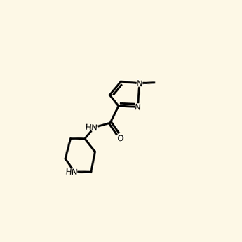 Cn1ccc(C(=O)NC2CCNCC2)n1